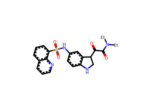 CCN(CC)C(=O)C(=O)C1CNc2ccc(NS(=O)(=O)c3cccc4cccnc34)cc21